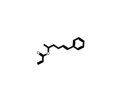 C=CC(=O)OC(C)CCC=Cc1ccccc1